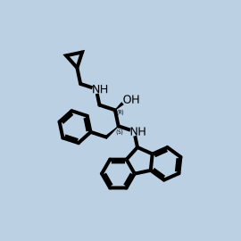 O[C@H](CNCC1CC1)[C@H](Cc1ccccc1)NC1c2ccccc2-c2ccccc21